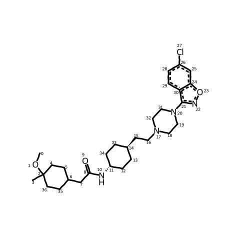 COC1(C)CCC(CC(=O)N[C@H]2CC[C@H](CCN3CCN(c4noc5cc(Cl)ccc45)CC3)CC2)CC1